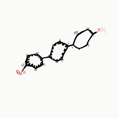 BC1CCC(c2ccc(-c3ccc(Br)cc3)cc2)CC1